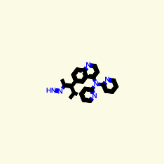 C/C(N=N)=C(\c1ccc2nccc(N(c3ccccn3)c3ccccn3)c2c1)C(C)C